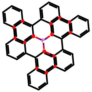 c1ccc(-c2cccc(-c3ccccc3)c2OP(Oc2c(-c3ccccc3)cccc2-c2ccccc2)Oc2c(-c3ccccc3)cccc2-c2ccccc2)cc1